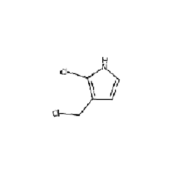 ClCc1cc[nH]c1Cl